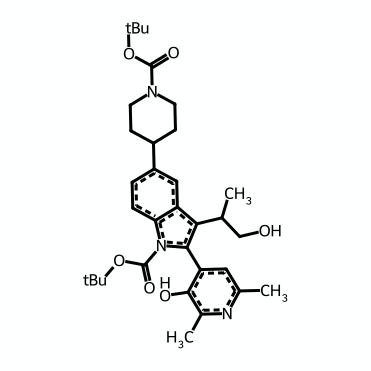 Cc1cc(-c2c(C(C)CO)c3cc(C4CCN(C(=O)OC(C)(C)C)CC4)ccc3n2C(=O)OC(C)(C)C)c(O)c(C)n1